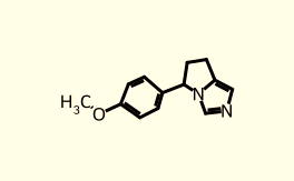 COc1ccc(C2CCc3cncn32)cc1